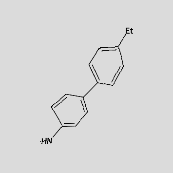 CCc1ccc(-c2ccc([NH])cc2)cc1